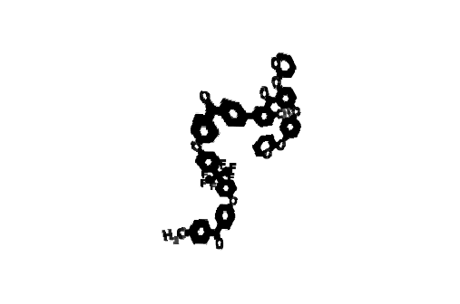 Cc1ccc(C(=O)c2ccc(Oc3ccc(C(c4ccc(Oc5ccc(C(=O)c6ccc(-c7ccc(C)c(C(=O)c8cc(Oc9ccc(OC%10CCCCO%10)cc9)ccc8OC8CCCCO8)c7)cc6)cc5)cc4)(C(F)(F)F)C(F)(F)F)cc3)cc2)cc1